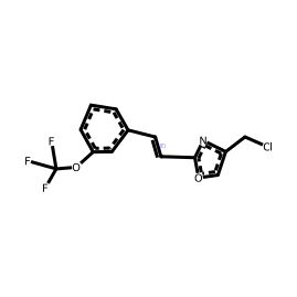 FC(F)(F)Oc1cccc(/C=C/c2nc(CCl)co2)c1